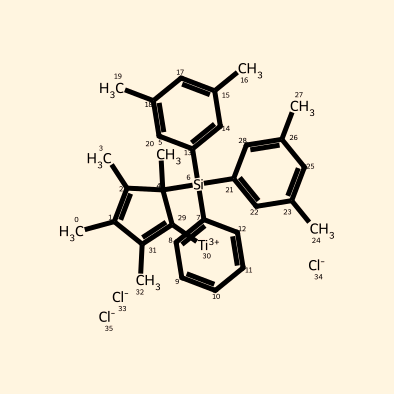 CC1=C(C)C(C)([Si](c2ccccc2)(c2cc(C)cc(C)c2)c2cc(C)cc(C)c2)[C]([Ti+3])=C1C.[Cl-].[Cl-].[Cl-]